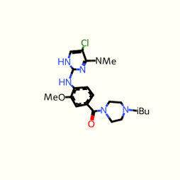 CCC(C)N1CCN(C(=O)c2ccc(NC3N=C(NC)C(Cl)=CN3)c(OC)c2)CC1